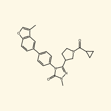 Cc1coc2ccc(-c3ccc(-n4c(C5CCN(C(=O)C6CC6)C5)nn(C)c4=O)cc3)cc12